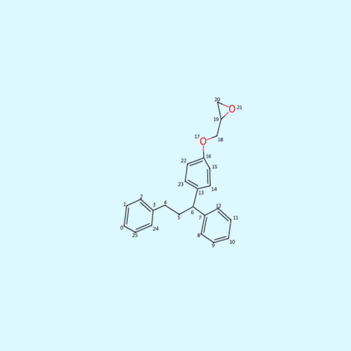 c1ccc(CCC(c2ccccc2)c2ccc(OCC3CO3)cc2)cc1